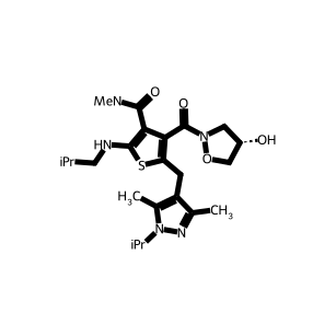 CNC(=O)c1c(NCC(C)C)sc(Cc2c(C)nn(C(C)C)c2C)c1C(=O)N1C[C@H](O)CO1